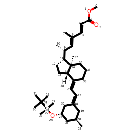 COC(=O)/C=C/C(C)=C/[C@@H](C)[C@H]1CC[C@H]2/C(=C/C=C3/C[C@@H](C)C[C@H](O[Si](C)(C)C(C)(C)C)C3)CCC[C@]12C